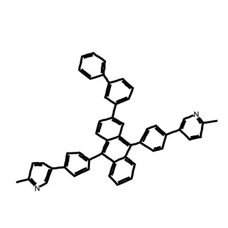 Cc1ccc(-c2ccc(-c3c4ccccc4c(-c4ccc(-c5ccc(C)nc5)cc4)c4cc(-c5cccc(-c6ccccc6)c5)ccc34)cc2)cn1